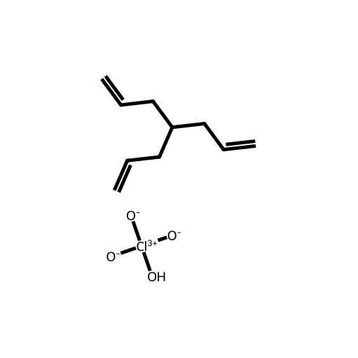 C=CCC(CC=C)CC=C.[O-][Cl+3]([O-])([O-])O